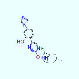 C[C@@H]1CC2C[C@H](Oc3ncc(-c4ccc(-n5ccnc5)cc4O)nn3)[C@@H](F)C(C1)N2